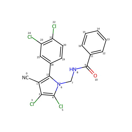 N#Cc1c(Cl)c(Cl)n(CNC(=O)c2ccccc2)c1-c1ccc(Cl)c(Cl)c1